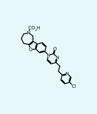 O=C(O)N1CCCc2oc3cc(-n4ccc(CCc5ccc(Cl)cn5)nc4=O)ccc3c2C1